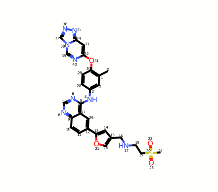 Cc1cc(Nc2ncnc3ccc(-c4cc(CNCCS(C)(=O)=O)co4)cc23)ccc1Oc1cc2nncn2cn1